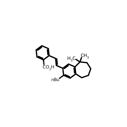 CCCCc1cc2c(cc1C=Cc1ccccc1C(=O)O)C(C)(C)CCCC2